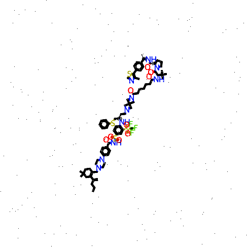 C=C(CCC)C1=C(CN2CCN(c3ccc(C(=O)NS(=O)(=O)c4ccc(N[C@H](CCN5CC6(C5)CN(C(=O)CCCCCC(=O)NC(C(=O)N5CCC[C@H]5C(=O)N[C@@H](C)c5ccc(-c7scnc7C)cc5)C(C)(C)C)C6)CSc5ccccc5)c(S(=O)(=O)C(F)(F)F)c4)cc3)CC2)CCC(C)(C)C1